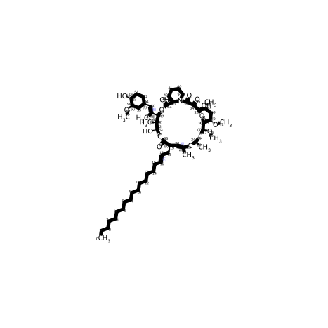 CCCCCCCCCCCCCCCC/C=C/C[C@@H]1/C=C(\C)C[C@H](C)C[C@H](OC)[C@H]2O[C@@](O)(C(=O)C(=O)N3CCCC[C@H]3C(=O)O[C@H](/C(C)=C/[C@@H]3CC[C@@H](O)[C@H](OC)C3)[C@H](C)[C@@H](O)CC1=O)[C@H](C)C[C@@H]2OC